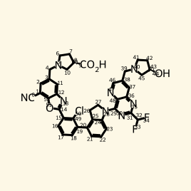 N#Cc1cc(CN2CC[C@@H](C(=O)O)C2)cc2nc(-c3cccc(-c4cccc5c4CCN5c4nc(C(F)F)nc5cc(CN6CC[C@@H](O)C6)cnc45)c3Cl)oc12